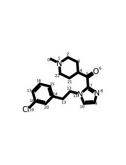 CN1CCC(C(=O)c2nccn2CCc2cccc(Cl)c2)CC1